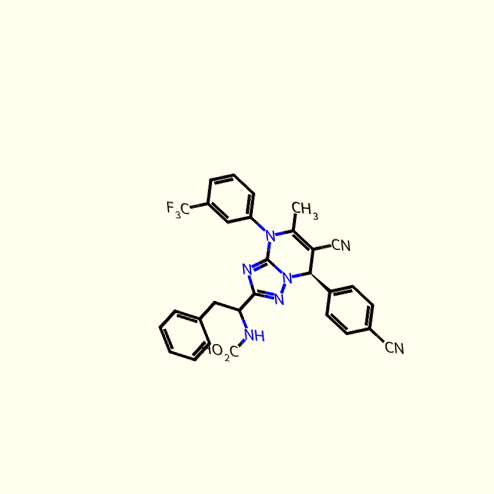 CC1=C(C#N)[C@@H](c2ccc(C#N)cc2)n2nc(C(Cc3ccccc3)NC(=O)O)nc2N1c1cccc(C(F)(F)F)c1